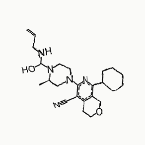 C=CCNC(O)N1CCN(c2nc(C3CCCCC3)c3c(c2C#N)CCOC3)C[C@H]1C